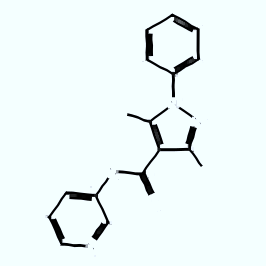 Cc1nn(-c2ccccc2)c(C)c1C(=O)Nc1cccnc1